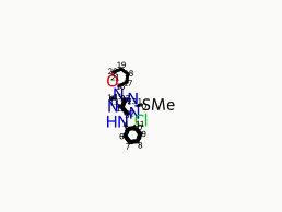 CSc1nc(Nc2ccccc2Cl)c2ncn(C3CCCCO3)c2n1